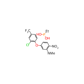 CCP(O)O.CNc1cc(Oc2ccc(C(F)(F)F)cc2Cl)ccc1[N+](=O)[O-]